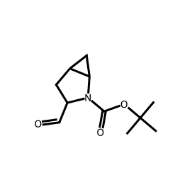 CC(C)(C)OC(=O)N1C(C=O)CC2CC21